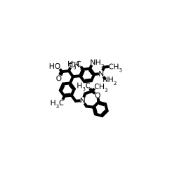 CCN(N)c1ccc(C(c2ccc(C)c(CN3Cc4ccccc4OC(C)(C)C3)c2)C(C)C(=O)O)c(C)c1N